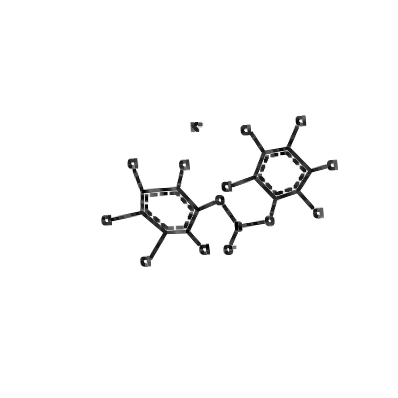 [K+].[O-]B(Oc1c(Cl)c(Cl)c(Cl)c(Cl)c1Cl)Oc1c(Cl)c(Cl)c(Cl)c(Cl)c1Cl